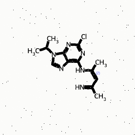 CC(=N)/C=C(/C)Nc1nc(Cl)nc2c1ncn2C(C)C